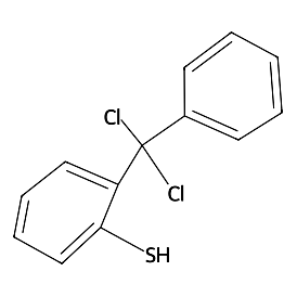 Sc1ccccc1C(Cl)(Cl)c1ccccc1